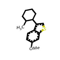 COc1ccc2c(C3CCCCC3C)csc2c1